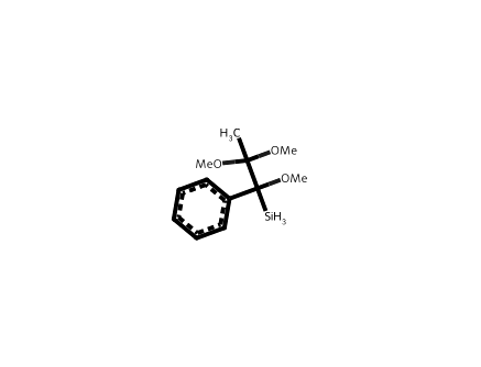 COC(C)(OC)C([SiH3])(OC)c1ccccc1